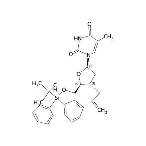 C=CC[C@H]1C[C@H](n2cc(C)c(=O)[nH]c2=O)O[C@@H]1CO[Si](c1ccccc1)(c1ccccc1)C(C)(C)C